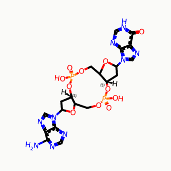 Nc1ncnc2c1ncn2C1C[C@@H]2OP(=O)(O)OCC3OC(n4cnc5c(=O)[nH]cnc54)C[C@@H]3OP(=O)(O)OCC2O1